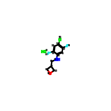 Cl.Fc1cc(NCC2COC2)c(F)cc1Cl